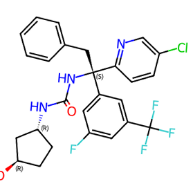 O=C(N[C@@H]1CC[C@@H](O)C1)N[C@@](Cc1ccccc1)(c1cc(F)cc(C(F)(F)F)c1)c1ccc(Cl)cn1